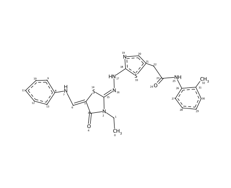 CCN1C(=O)/C(=C/Nc2ccccc2)S/C1=N\Nc1ncc(CC(=O)Nc2ccccc2C)s1